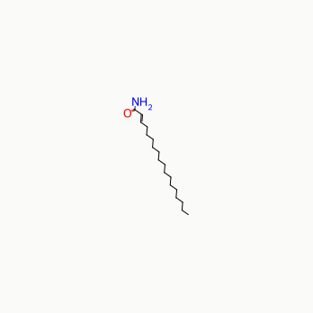 CCCCCCCCCCCCCCCC=CC(N)=O